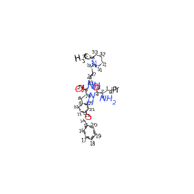 CC(C)CC(N)C(=O)NC(Cc1ccc(OCc2ccccc2)cc1)C(=O)NCCCN1CCCCC1C